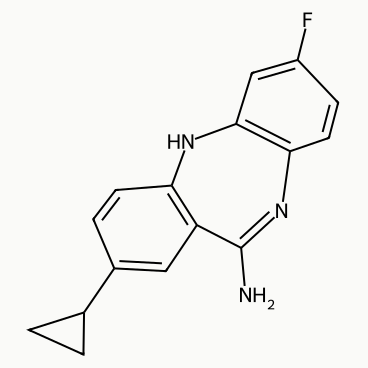 NC1=Nc2ccc(F)cc2Nc2ccc(C3CC3)cc21